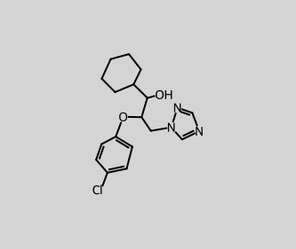 OC(C1CCCCC1)C(Cn1cncn1)Oc1ccc(Cl)cc1